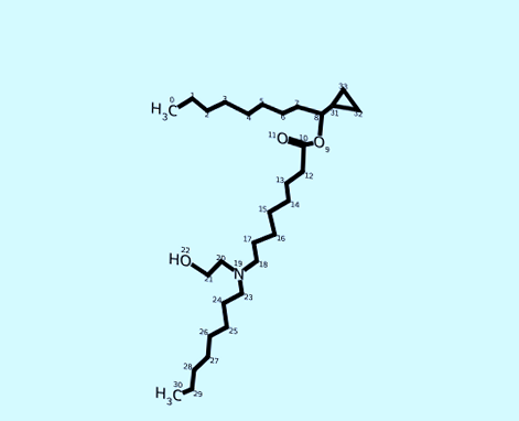 CCCCCCCCC(OC(=O)CCCCCCCN(CCO)CCCCCCCC)C1CC1